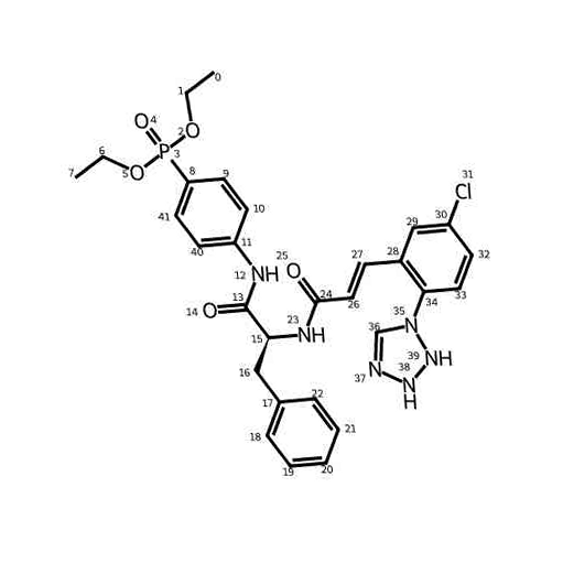 CCOP(=O)(OCC)c1ccc(NC(=O)[C@H](Cc2ccccc2)NC(=O)/C=C/c2cc(Cl)ccc2N2C=NNN2)cc1